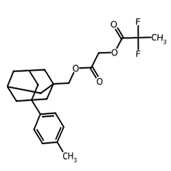 Cc1ccc(C23CC4CC(CC(COC(=O)COC(=O)C(C)(F)F)(C4)C2)C3)cc1